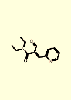 CCN(CC)C(=O)/C([C]=O)=C/c1ccccn1